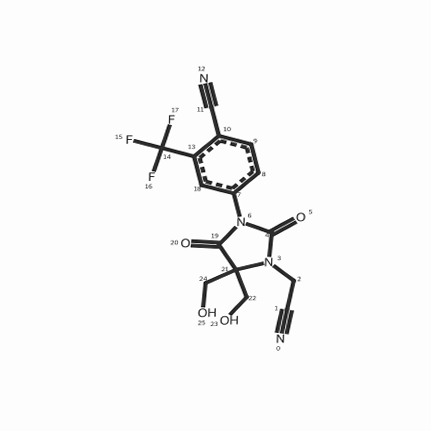 N#CCN1C(=O)N(c2ccc(C#N)c(C(F)(F)F)c2)C(=O)C1(CO)CO